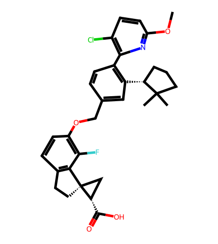 COc1ccc(Cl)c(-c2ccc(COc3ccc4c(c3F)[C@@]3(CC4)C[C@@H]3C(=O)O)cc2[C@@H]2CCCC2(C)C)n1